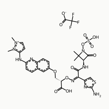 Cn1c(Nc2ccc3cc(OC[C@H](O/N=C(\C(=O)N[C@@H]4C(=O)N(OS(=O)(=O)O)C4(C)C)c4csc(N)n4)C(=O)O)ccc3n2)cc[n+]1C.O=C([O-])C(F)(F)F